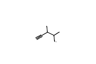 C#CC(C)C([CH2])C